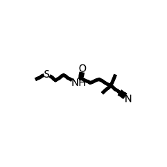 CSCCNC(=O)CCC(C)(C)C#N